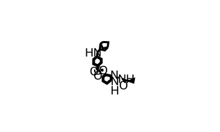 O=C(Nc1nc2cc(OS(=O)(=O)c3ccc(NC4CC5CCC4C5)cc3)ccc2[nH]1)C1CC1